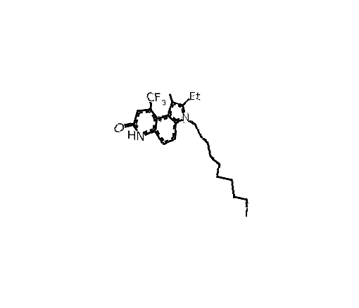 CCc1c(C)c2c3c(C(F)(F)F)cc(=O)[nH]c3ccc2n1CCCCCCCCCI